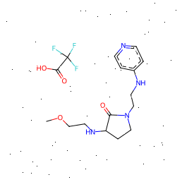 COCCNC1CCN(CCNc2ccncc2)C1=O.O=C(O)C(F)(F)F